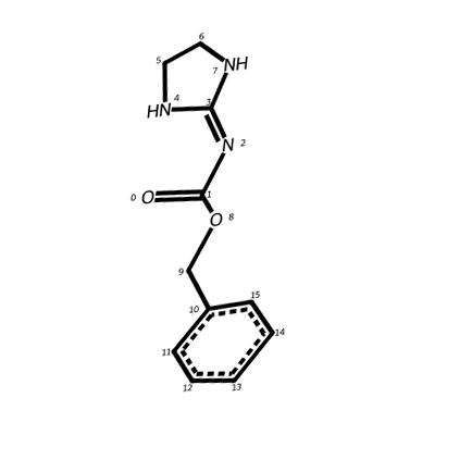 O=C(N=C1NCCN1)OCc1ccccc1